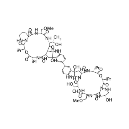 COCC1NC(=O)[C@H]2CCCNN2C(=O)[C@H](C(C)C)OC(=O)[C@@H](C(C)C)NC(=O)[C@@H]2C[C@@]3(O)c4cc(-c5ccc6c(c5)[C@]5(O)C[C@H]7C(=O)N[C@H](C(C)C)C(=O)O[C@@H](C(C)C)C(=O)N8NC[C@H](O)C[C@@H]8C(=O)N[C@@H](COC)C(=O)N[C@H]([C@H](C)O)C(=O)N7[C@@H]5N6)ccc4N[C@H]3C2C(=O)[C@@H]([C@H](C)O)NC1=O